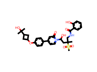 CC(C)(O)C1CC(Oc2ccc(-c3ccn(C(O)CC(C)(CNC(=O)c4ccccc4O)S(C)(=O)=O)c(=O)c3)cc2)C1